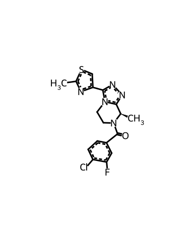 Cc1nc(-c2nnc3n2CCN(C(=O)c2ccc(Cl)c(F)c2)[C@@H]3C)cs1